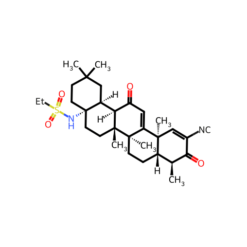 [C-]#[N+]C1=C[C@]2(C)C3=CC(=O)[C@@H]4[C@@H]5CC(C)(C)CC[C@]5(NS(=O)(=O)CC)CC[C@@]4(C)[C@]3(C)CC[C@H]2[C@H](C)C1=O